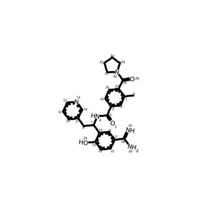 Cc1cc(C(=O)NC(Cc2cccnc2)c2cc(C(=N)N)ccc2O)ccc1C(=O)N1CCCC1